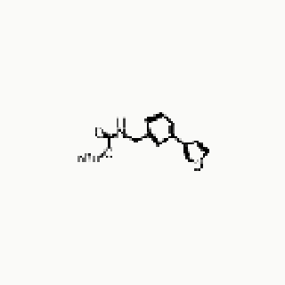 CCCCOC(=O)NCc1cccc(-c2ccoc2)c1